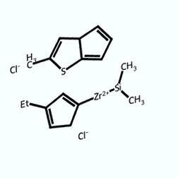 CC1=CC2C=CC=C2S1.CCC1=CC[C]([Zr+2][Si](C)C)=C1.[Cl-].[Cl-]